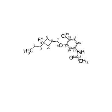 CCCC1(F)CC(COc2cc(NC(C)=O)ccc2Cl)C1